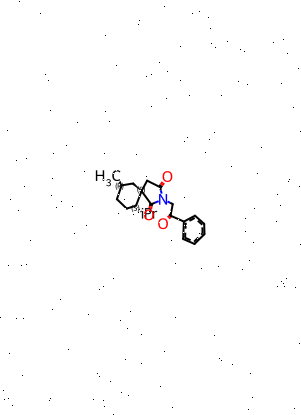 CC(C)[C@@H]1CC[C@@H](C)C[C@]12CC(=O)N(CC(=O)c1ccccc1)C2=O